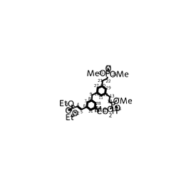 CCOP(=O)(/C=C/c1cc(Cc2cc(CCP(=O)(OC)OC)cc(CCP(=O)(OC)OC)c2)cc(C(=O)O)c1)OCC